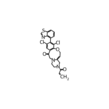 C=CC(=O)N1CCN2CC(=O)c3cc(Cl)c(-c4cccc5scnc45)c(Cl)c3OC/C=C\2C1